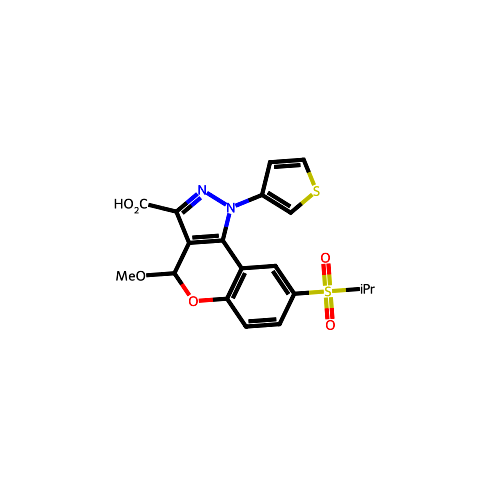 COC1Oc2ccc(S(=O)(=O)C(C)C)cc2-c2c1c(C(=O)O)nn2-c1ccsc1